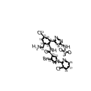 CS(=O)(=O)Nc1nnc(-c2cc(Cl)cc(CN)c2NC(=O)c2cn(-c3ncccc3Cl)nc2Br)s1